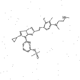 CNCCN(C)c1ccc(/C=C/C2=NCC3C=C(C4CC4)N(c4cccc(N=S(C)(C)=O)n4)C3=N2)c(F)c1C